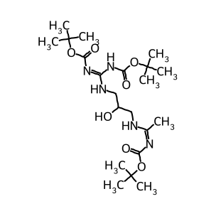 C/C(=N/C(=O)OC(C)(C)C)NCC(O)CN/C(=N/C(=O)OC(C)(C)C)NC(=O)OC(C)(C)C